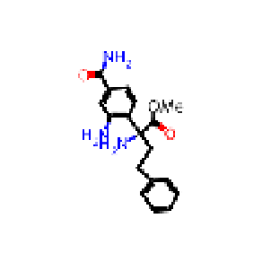 COC(=O)[C@](N)(CCc1ccccc1)c1ccc(C(N)=O)cc1N